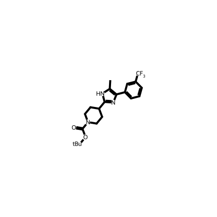 Cc1[nH]c(C2CCN(C(=O)OC(C)(C)C)CC2)nc1-c1cccc(C(F)(F)F)c1